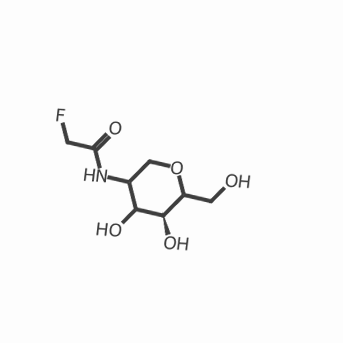 O=C(CF)NC1COC(CO)[C@@H](O)C1O